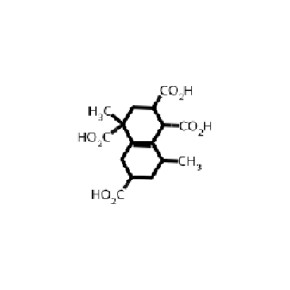 CC1CC(C(=O)O)CC2=C1C(C(=O)O)C(C(=O)O)CC2(C)C(=O)O